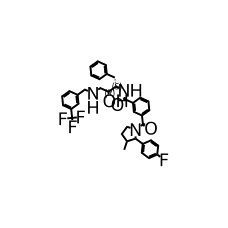 CC1CCN(C(=O)c2cccc(C(=O)N[C@@H](Cc3ccccc3)[C@H](O)CNCc3cccc(C(F)(F)F)c3)c2)C1c1ccc(F)cc1